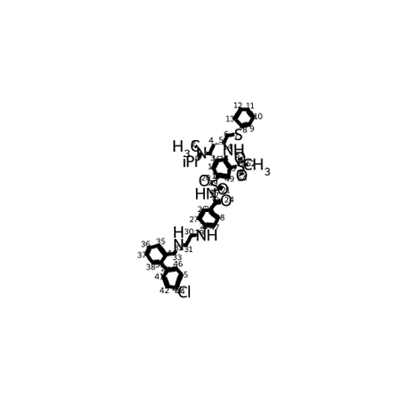 CC(C)N(C)CC[C@H](CSc1ccccc1)Nc1ccc(S(=O)(=O)NC(=O)c2ccc(NCCNCc3ccccc3-c3ccc(Cl)cc3)cc2)cc1S(C)(=O)=O